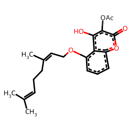 CC(=O)Oc1c(O)c2c(OCC=C(C)CCC=C(C)C)cccc2oc1=O